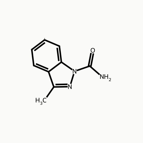 Cc1nn(C(N)=O)c2c[c]ccc12